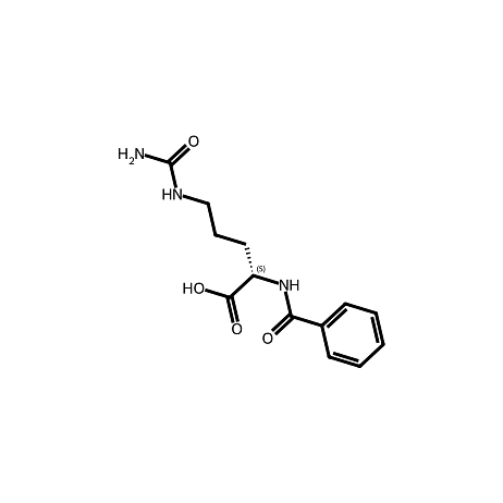 NC(=O)NCCC[C@H](NC(=O)c1ccccc1)C(=O)O